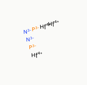 [Hf+4].[Hf+4].[Hf+4].[N-3].[N-3].[P-3].[P-3]